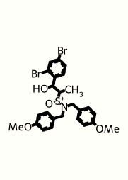 COc1ccc(CN(Cc2ccc(OC)cc2)[S+]([O-])C(C)C(O)c2ccc(Br)cc2Br)cc1